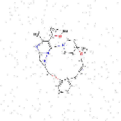 Cc1nc2cc3nn2c(c1[C@H](OC(C)(C)C)C(=O)O)N1CCC(C)(CC1)OC/C=C\Cc1ccccc1OC3